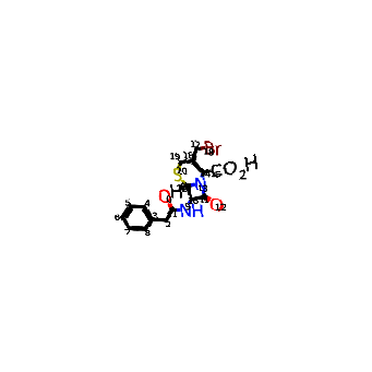 O=C(Cc1ccccc1)NC1C(=O)N2C(C(=O)O)=C(CBr)CS[C@@H]12